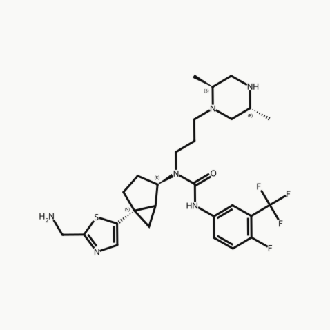 C[C@@H]1CN(CCCN(C(=O)Nc2ccc(F)c(C(F)(F)F)c2)[C@@H]2CC[C@]3(c4cnc(CN)s4)CC23)[C@@H](C)CN1